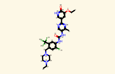 CCOc1cc(-c2ncc(NC(=O)Nc3cc(C(F)(F)F)c(CN4CCN(CC)CC4)cc3F)c(C)n2)c[nH]c1=O